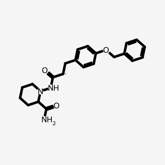 NC(=O)C1CCCCN1NC(=O)[CH]Cc1ccc(OCc2ccccc2)cc1